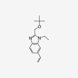 C=Cc1ccc2nc(COC(C)(C)C)n(CC)c2c1